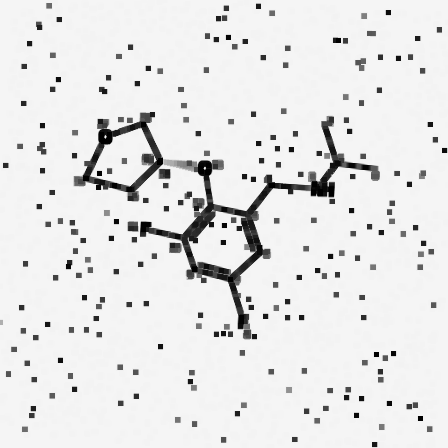 CC(C)NCc1cc(F)cc(F)c1O[C@@H]1CCOC1